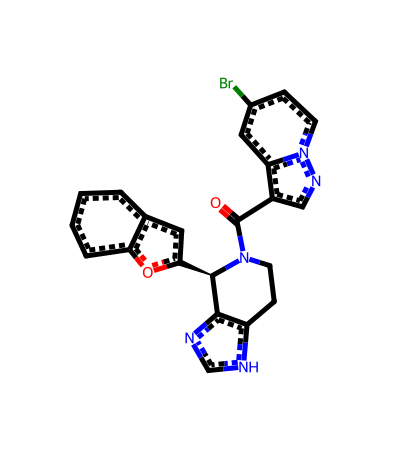 O=C(c1cnn2ccc(Br)cc12)N1CCc2[nH]cnc2[C@H]1c1cc2ccccc2o1